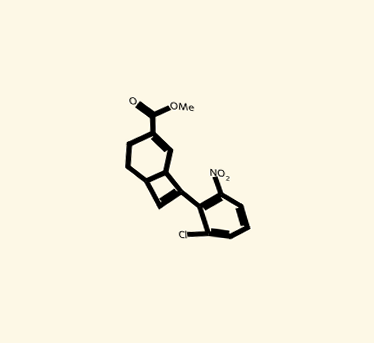 COC(=O)C1=CC2C(c3c(Cl)cccc3[N+](=O)[O-])=CC2CC1